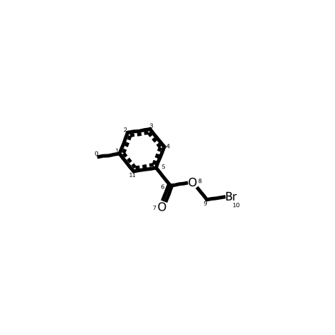 Cc1cccc(C(=O)OCBr)c1